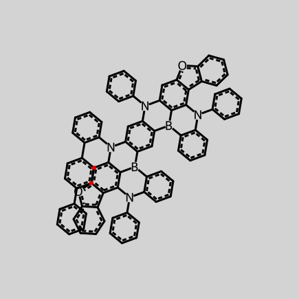 c1ccc(-c2ccc(-c3ccccc3N3c4cc5c(cc4B4c6ccccc6N(c6ccccc6)c6c4c3cc3oc4ccccc4c63)B3c4ccccc4N(c4ccccc4)c4c3c(cc3oc6ccccc6c43)N5c3ccccc3)cc2)cc1